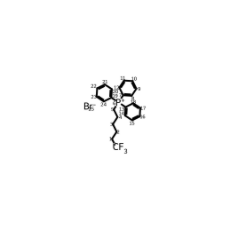 FC(F)(F)CCCCC[P+](c1ccccc1)(c1ccccc1)c1ccccc1.[Br-]